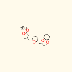 C[C@@H](CC(=O)OC(C)(C)C)C[C@@H]1CCC[C@H](C[C@@H]2CCOC3(CCCCC3)O2)O1